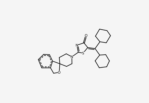 O=C1N=C(N2CCC3(CC2)OCc2ccccc23)SC1=C(C1CCCCC1)C1CCCCC1